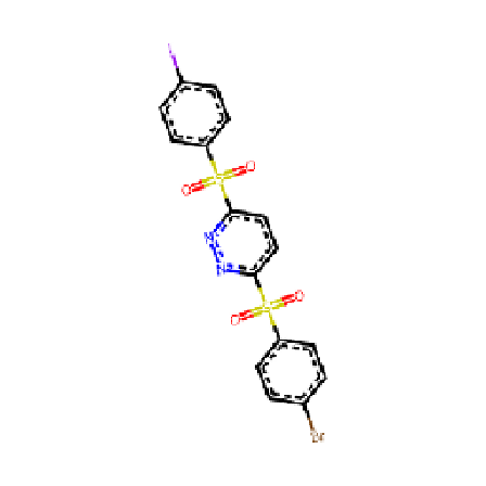 O=S(=O)(c1ccc(Br)cc1)c1ccc(S(=O)(=O)c2ccc(I)cc2)nn1